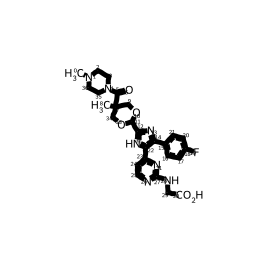 CN1CCN(C(=O)C2(C)COC(c3nc(-c4ccc(F)cc4)c(-c4ccnc(NCC(=O)O)n4)[nH]3)OC2)CC1